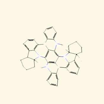 CN1c2ccccc2B2c3cccc4c3N(c3c2c1c1c2c3N(C)c3ccccc3B2c2cccc3c2N1C1(C)CCCCC31C)C1(C)CCCC[C@@]41C